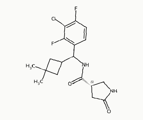 CC1(C)CC(C(NC(=O)[C@@H]2CNC(=O)C2)c2ccc(F)c(Cl)c2F)C1